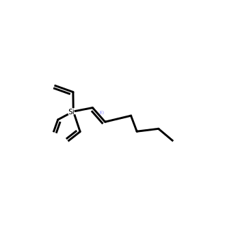 C=C[Si](C=C)(C=C)/C=C/CCCC